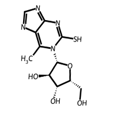 Cc1c2ncnc-2nc(S)n1[C@@H]1O[C@H](CO)[C@H](O)[C@H]1O